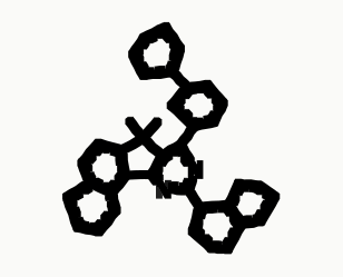 CC1(C)c2ccc3ccccc3c2-c2nc(-c3cccc4ccccc34)nc(-c3cccc(-c4ccccc4)c3)c21